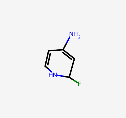 NC1=CC(F)NC=C1